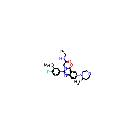 COc1cc(-c2nc3ccc(N4CCN=CCC4C)cc3c(=O)n2CC(=O)NCC(C)C)ccc1F